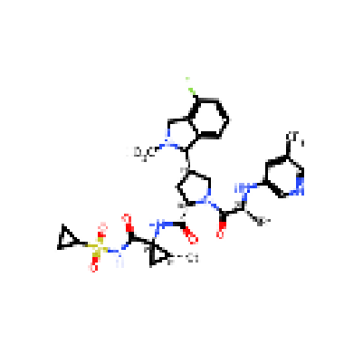 CC[C@@H]1C[C@]1(NC(=O)[C@@H]1C[C@@H](C2c3cccc(F)c3CN2C(=O)O)CN1C(=O)[C@@H](Nc1cncc(C(F)(F)F)c1)C(C)C)C(=O)NS(=O)(=O)C1CC1